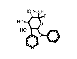 O=S(=O)(O)C1(F)O[C@@H](Oc2ccccc2)[C@@](O)(c2ccncc2)[C@@H](O)[C@@H]1O